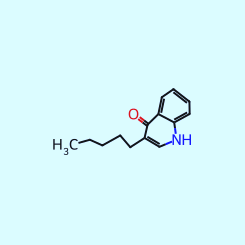 CCCCCc1c[nH]c2ccccc2c1=O